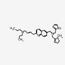 CCCN(CCC)CCCCc1ccc2cc(CN(CC3=NCCN3C)Cc3ncc[nH]3)ccc2n1